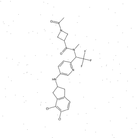 CC(=O)N1CC(C(=O)N(C)C(c2ccc(NC3Cc4ccc(Cl)c(Cl)c4C3)cn2)C(F)(F)F)C1